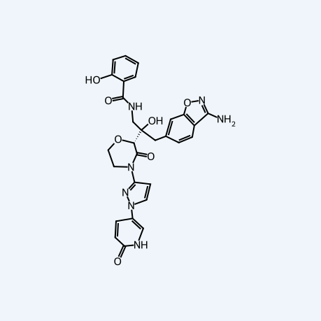 Nc1noc2cc(CC(O)(CNC(=O)c3ccccc3O)[C@H]3OCCN(c4ccn(-c5ccc(=O)[nH]c5)n4)C3=O)ccc12